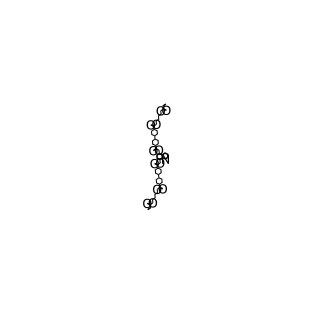 C=CC(=O)OCCCCOC(=O)C1CCC(C2CCC(C(=O)Oc3ccc(OC(=O)C4CCC(C5CCC(C(=O)OCCCCOC(=O)C=C)CC5)CC4)c4ncccc34)CC2)CC1